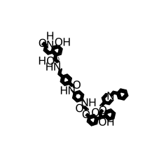 O=C(COc1cccc(C(O)(C(=O)OCC2CCN(Cc3ccccc3)CC2)c2ccccc2)c1)N[C@H]1CC[C@H](NC(=O)c2ccc(CCNC[C@H](O)c3ccc(O)c4[nH]c(=O)ccc34)cc2)CC1